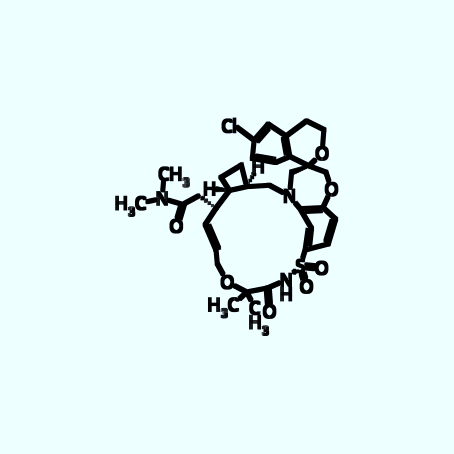 CN(C)C(=O)C[C@H]1/C=C/COC(C)(C)C(=O)NS(=O)(=O)c2ccc3c(c2)N(C[C@@H]2CC[C@H]21)C[C@]1(CO3)OCCc2cc(Cl)ccc21